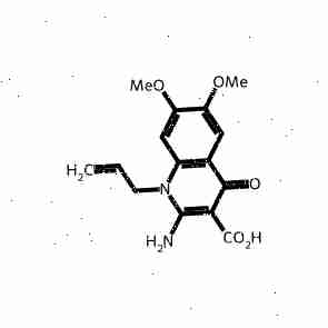 C=CCn1c(N)c(C(=O)O)c(=O)c2cc(OC)c(OC)cc21